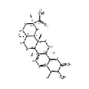 CC1=C(O)C(=O)C=C2C1=CC=C1[C@@]2(C)CC[C@@]2(C)C3C[C@](C)(C(=O)O)CC[C@]3(C)CC[C@]12C